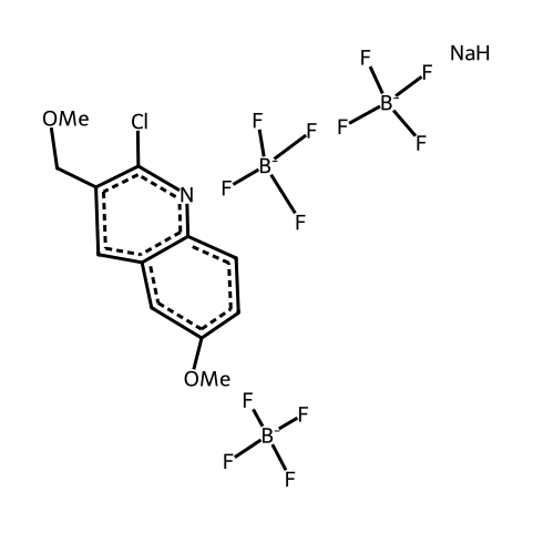 COCc1cc2cc(OC)ccc2nc1Cl.F[B-](F)(F)F.F[B-](F)(F)F.F[B-](F)(F)F.[NaH]